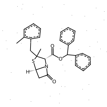 Cc1ccccc1CC1(C)S[C@@H]2CC(=O)N2[C@H]1C(=O)OC(c1ccccc1)c1ccccc1